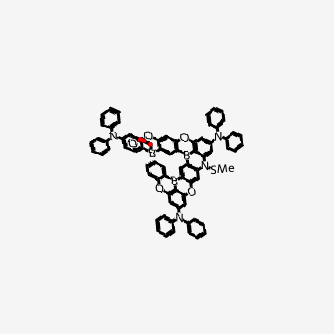 CSN1c2cc3c(cc2B2c4cc5c(cc4Oc4cc(N(c6ccccc6)c6ccccc6)cc1c42)Oc1cc(N(c2ccccc2)c2ccccc2)cc2c1B5c1ccccc1O2)B1c2ccccc2Oc2cc(N(c4ccccc4)c4ccccc4)cc(c21)O3